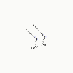 CCCCCC/C=C/C=C\CCCC(=O)O.CCCCCCCC/C=C/C=C\CCOC(C)=O